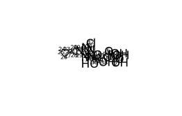 O=P(O)(O)CP(=O)(O)OC[C@H]1O[C@@H](n2cnc3c(N4CCC(C5CCCCC5)CC4)nc(Cl)nc32)[C@@H](O)C1O